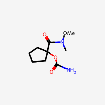 CON(C)C(=O)C1(OC(N)=O)CCCC1